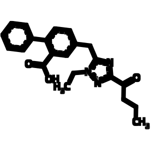 CCCC(=O)c1nc(Cc2ccc(-c3ccccc3)c(C(=O)O)c2)n(CC)n1